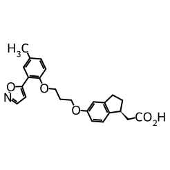 Cc1ccc(OCCCOc2ccc3c(c2)CC[C@H]3CC(=O)O)c(-c2ccno2)c1